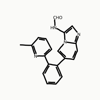 Cc1cccc(-c2ccccc2-c2ccc3ncc(NC=O)n3c2)n1